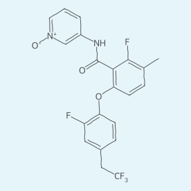 Cc1ccc(Oc2ccc(CC(F)(F)F)cc2F)c(C(=O)Nc2ccc[n+]([O-])c2)c1F